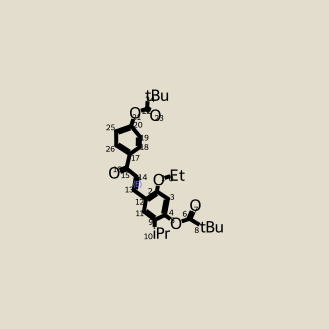 CCOc1cc(OC(=O)C(C)(C)C)c(C(C)C)cc1/C=C/C(=O)c1ccc(OC(=O)C(C)(C)C)cc1